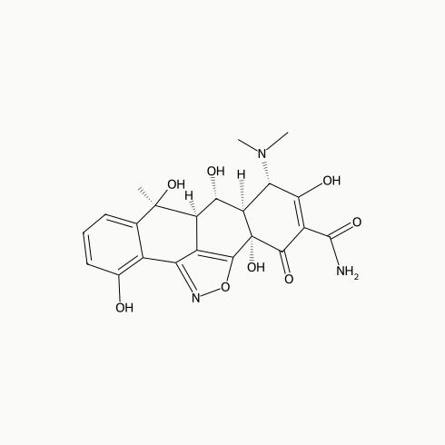 CN(C)[C@@H]1C(O)=C(C(N)=O)C(=O)[C@@]2(O)c3onc4c3[C@H]([C@H](O)[C@@H]12)[C@](C)(O)c1cccc(O)c1-4